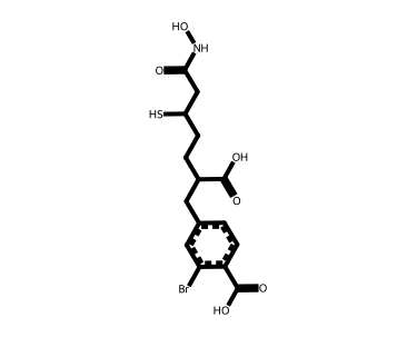 O=C(CC(S)CCC(Cc1ccc(C(=O)O)c(Br)c1)C(=O)O)NO